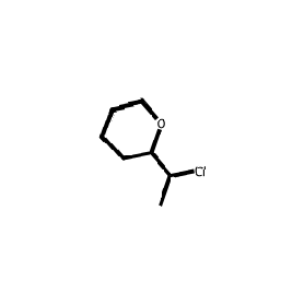 CC(Cl)C1CCCCO1